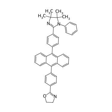 CC1(C)N=C(c2ccc(-c3c4ccccc4c(-c4ccc(C5=NCCO5)cc4)c4ccccc34)cc2)N(c2ccccc2)C1(C)C